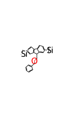 C[Si](C)(C)c1ccc2c(c1)C(COCc1ccccc1)c1cc([Si](C)(C)C)ccc1-2